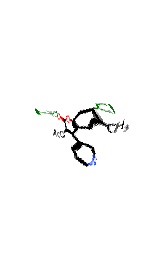 CC(=O)Oc1c(-c2cccnc2)c2cc(C)c(Cl)cc2oc1=O.Cl